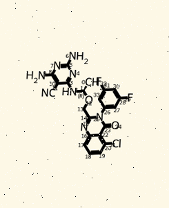 C[C@H](Nc1nc(N)nc(N)c1C#N)OCc1nc2cccc(Cl)c2c(=O)n1-c1cc(F)cc(F)c1